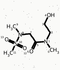 CN(CCO)C(=O)CN(C)S(C)(=O)=O